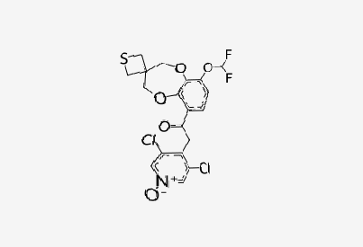 O=C(Cc1c(Cl)c[n+]([O-])cc1Cl)c1ccc(OC(F)F)c2c1OCC1(CO2)CSC1